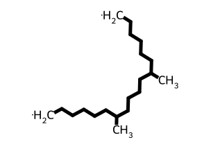 [CH2]CCCCCC(C)CCCCC(C)CCCCC[CH2]